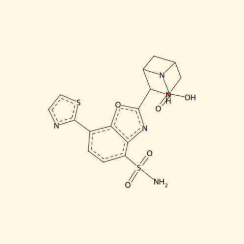 NS(=O)(=O)c1ccc(-c2nccs2)c2oc(C3NCC4CC3N4C(=O)O)nc12